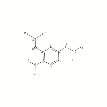 CC(C)Oc1ccc(C(C)C)c(OC(F)F)c1